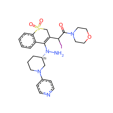 NN(C1=C(C(I)C(=O)N2CCOCC2)CS(=O)(=O)c2ccccc21)[C@H]1CCCN(c2ccncc2)C1